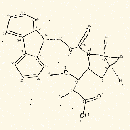 COC(C(C)C(=O)O)C1C[C@@H]2C[C@@H]2N1C(=O)OCC1c2ccccc2-c2ccccc21